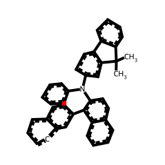 CC1(C)c2ccccc2-c2ccc(N(c3ccccc3)c3ccc4ccccc4c3-c3ccc4ccccc4c3)cc21